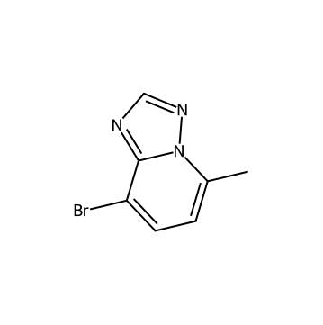 Cc1ccc(Br)c2ncnn12